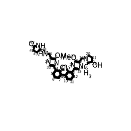 COc1nc(-c2cccc(-c3cccc(-c4cnc(CN5CCC(O)C5C)c(OC)n4)c3Cl)c2Cl)cnc1CNC[C@@H]1CCC(=O)N1